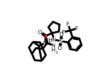 NC(=O)C12CC3CC(C1)C(NC(=O)C1(NS(=O)(=O)c4ccccc4C(F)(F)F)CCCC1)C(C3)C2